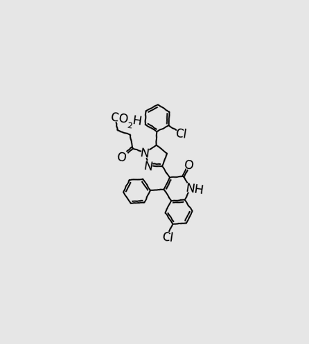 O=C(O)CCC(=O)N1N=C(c2c(-c3ccccc3)c3cc(Cl)ccc3[nH]c2=O)CC1c1ccccc1Cl